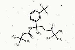 CC(C)(C)OC(=O)NC(C)(COC(=O)C(C)(C)C)c1cccc(C(F)(F)F)c1